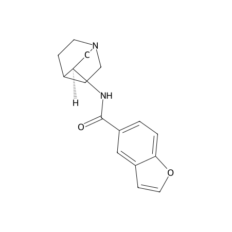 O=C(N[C@@H]1CN2CCC1CC2)c1ccc2occc2c1